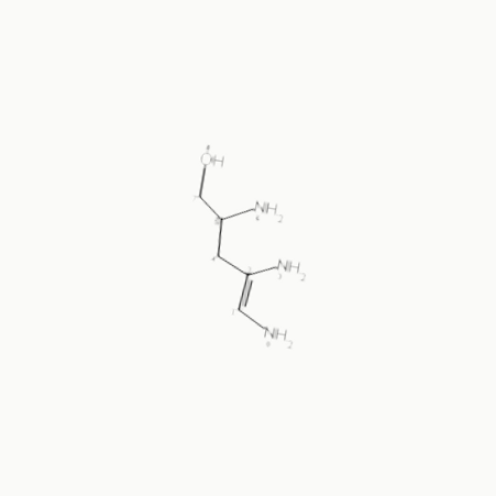 N/C=C(\N)CC(N)CO